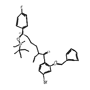 CCC(CCC[C@@H](O[Si](C)(C)C(C)(C)C)c1ccc(F)cc1)C(=O)c1ccc(Br)cc1OCc1ccccc1